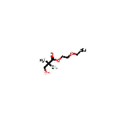 CC(C)(C)COCCOC(=O)C(C)(C)CO